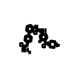 Cc1cc(Nc2nc3cccc(-c4ccc(CC(N)=O)cc4)c3o2)ccc1C(=O)N1CCN(C)CC1